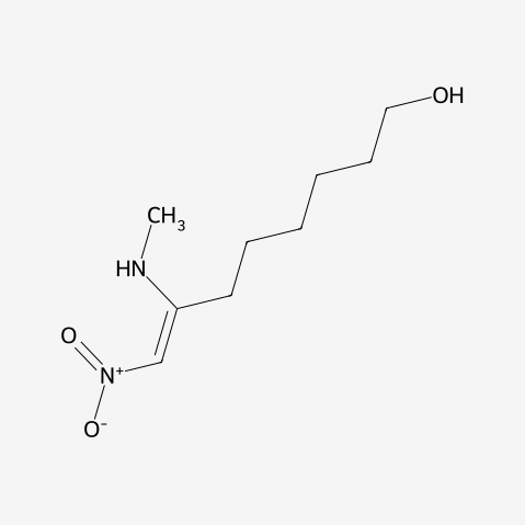 CN/C(=C\[N+](=O)[O-])CCCCCCO